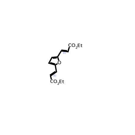 CCOC(=O)/C=C/c1ccc(/C=C/C(=O)OCC)o1